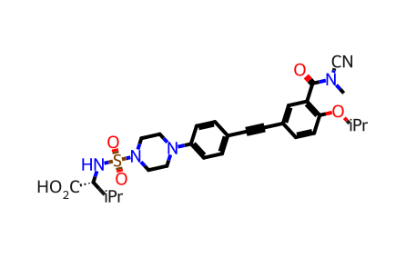 CC(C)Oc1ccc(C#Cc2ccc(N3CCN(S(=O)(=O)N[C@@H](C(=O)O)C(C)C)CC3)cc2)cc1C(=O)N(C)C#N